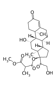 COC(=O)C(C)C(=O)O[C@]1(C(=O)CO)CC[C@H]2[C@@H]3CCC4=CC(=O)CC[C@]4(C)[C@H]3[C@@H](O)C[C@@]21C